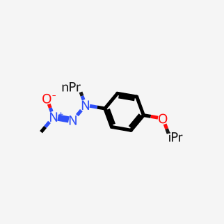 CCCN(N=[N+](C)[O-])c1ccc(OC(C)C)cc1